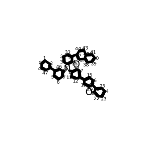 c1ccc(-c2cccc(N(c3ccc(-c4ccc5c(c4)oc4ccccc45)cc3)c3cccc4c3oc3c5ccccc5ccc43)c2)cc1